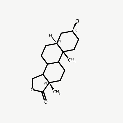 CC12CC[C@H](Cl)C[C@@H]1CCC1C2CC[C@]2(C)C(=O)OCC12